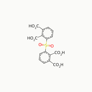 O=C(O)c1cccc(S(=O)(=O)c2cccc(C(=O)O)c2C(=O)O)c1C(=O)O